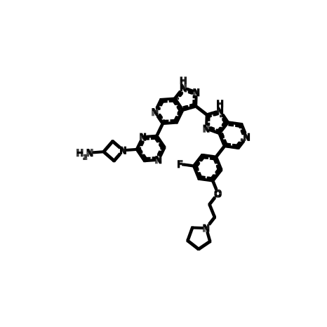 NC1CN(c2cncc(-c3cc4c(-c5nc6c(-c7cc(F)cc(OCCN8CCCC8)c7)cncc6[nH]5)n[nH]c4cn3)n2)C1